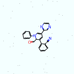 N#Cc1ccccc1C1=CC(c2cnccn2)=CN(c2ccccc2)C1C=O